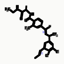 C/C=C/c1cc(C(/C=C(\F)c2ccc(C(=O)NC(C)C(=O)NCC(F)(F)F)c(C(F)(F)F)c2)C(F)(F)F)cc(Cl)c1Cl